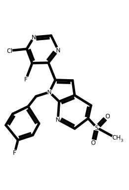 CS(=O)(=O)c1cnc2c(c1)cc(-c1ncnc(Cl)c1F)n2Cc1ccc(F)cc1